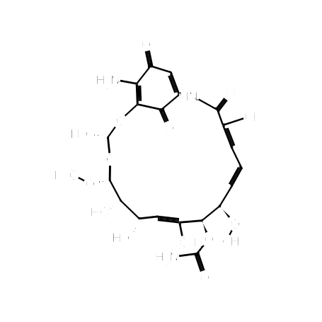 CO[C@@H]1/C=C\C=C(/C)C(=O)NC2=CC(=O)C(N)=C(C[C@@H](C)C[C@@H](OC)[C@@H](O)[C@@H](C)/C=C(\C)[C@@H]1OC(N)=O)C2=O